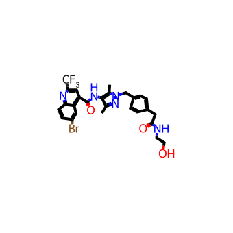 Cc1nn(Cc2ccc(CC(=O)NCCO)cc2)c(C)c1NC(=O)c1cc(C(F)(F)F)nc2ccc(Br)cc12